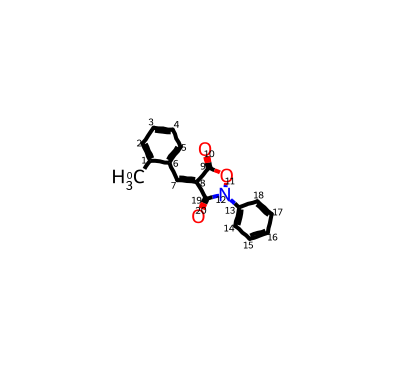 Cc1ccccc1C=C1C(=O)ON(c2ccccc2)C1=O